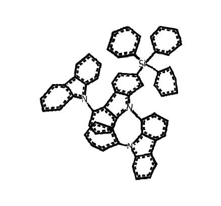 c1ccc(-n2c3ccccc3c3cccc(-n4c5cc([Si](c6ccccc6)(c6ccccc6)c6ccccc6)ccc5c5c(-n6c7ccccc7c7ccccc76)cccc54)c32)cc1